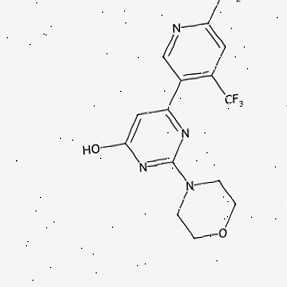 Nc1cc(C(F)(F)F)c(-c2cc(O)nc(N3CCOCC3)n2)cn1